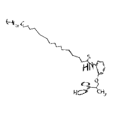 CCCCCCCCCCCCCCCCC(=S)Nc1ccccc1OCC(C)C(=O)O